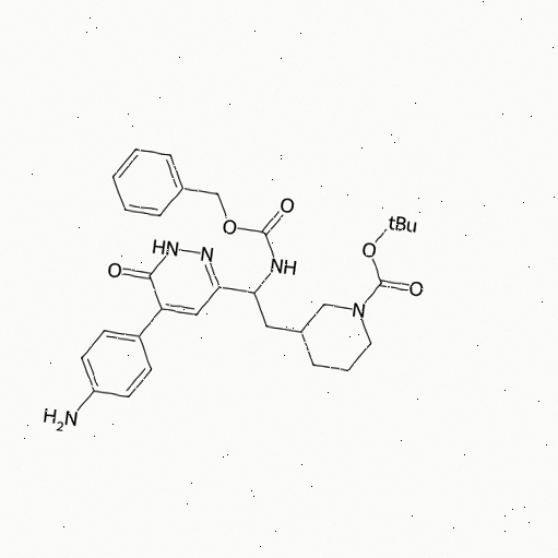 CC(C)(C)OC(=O)N1CCCC(CC(NC(=O)OCc2ccccc2)c2cc(-c3ccc(N)cc3)c(=O)[nH]n2)C1